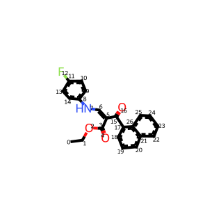 CCOC(=O)C(=CNc1ccc(F)cc1)C(=O)c1cccc2ccccc12